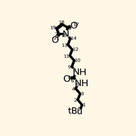 CC(C)(C)CCCCNC(=O)NCCCCCCN1C(=O)C=CC1=O